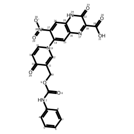 O=C(Nc1ccccc1)OCc1cn(-c2cc3nc(C(=O)O)c(=O)[nH]c3cc2[N+](=O)[O-])ccc1=O